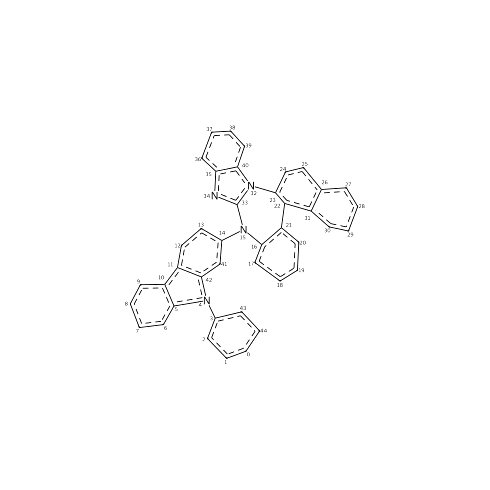 c1ccc(-n2c3ccccc3c3ccc(N4c5ccccc5-c5c(ccc6ccccc56)-n5c4nc4ccccc45)cc32)cc1